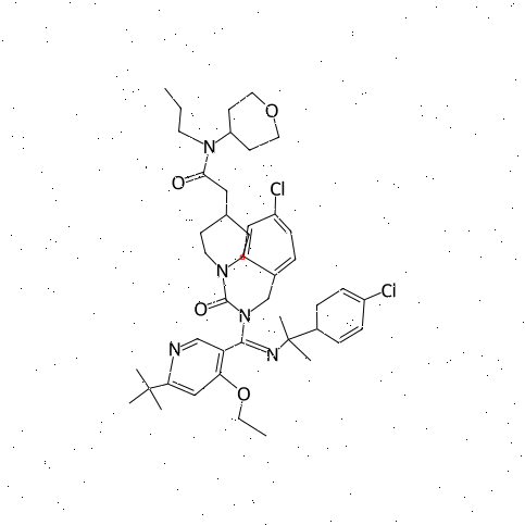 CCCN(C(=O)CC1CCN(C(=O)N(Cc2ccc(Cl)cc2)/C(=N\C(C)(C)C2C=CC(Cl)=CC2)c2cnc(C(C)(C)C)cc2OCC)CC1)C1CCOCC1